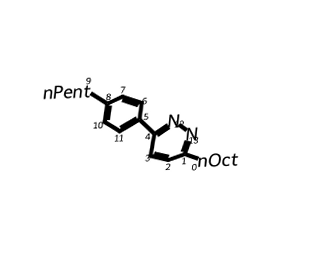 CCCCCCCCc1ccc(-c2ccc(CCCCC)cc2)nn1